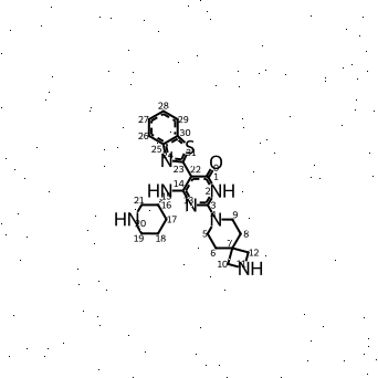 O=c1[nH]c(N2CCC3(CC2)CNC3)nc(N[C@@H]2CCCNC2)c1-c1nc2ccccc2s1